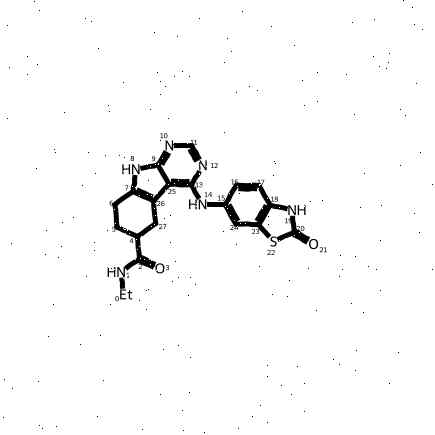 CCNC(=O)C1CCc2[nH]c3ncnc(Nc4ccc5[nH]c(=O)sc5c4)c3c2C1